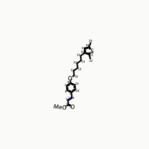 COC(=O)/C=C/c1ccc(OCCCCCCc2cc(C)sc2C)cc1